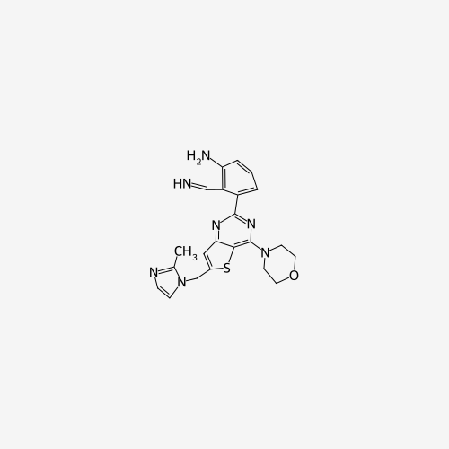 Cc1nccn1Cc1cc2nc(-c3cccc(N)c3C=N)nc(N3CCOCC3)c2s1